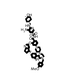 COc1ccc(CN2CCN(C3CCN(c4ccc(C(=O)NS(=O)(=O)c5cnc(NC[C@H]6CC[C@](C)(O)CC6)c(N)c5)c(Oc5cnc6c(c5)C(F)=CC6)c4)CC3)C(c3ccccc3C(C)C)C2)cc1